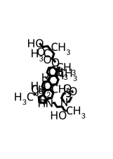 C=C(C)[C@@H]1CC[C@]2(NCCC(C(C)O)N3CCS(=O)(=O)CC3)CC[C@]3(C)[C@H](CC[C@@H]4[C@@]5(C)CC[C@H](OC(=O)CC(C)(C)CC(=O)O)C(C)(C)[C@@H]5CC[C@]43C)[C@@H]12